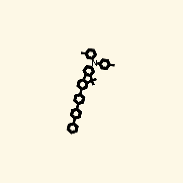 Cc1ccc(N(c2cccc(C)c2)c2ccc3c(c2)C(C)(C)c2cc(-c4ccc(-c5ccc(-c6ccccc6)cc5)cc4)ccc2-3)cc1